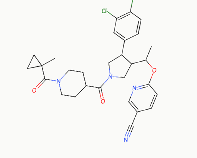 CC(Oc1ccc(C#N)cn1)C1CN(C(=O)C2CCN(C(=O)C3(C)CC3)CC2)CC1c1ccc(Cl)c(Cl)c1